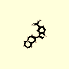 CC(C)C(=O)c1ccc2occ(C3=CCN4CCCCC4C3)c2c1